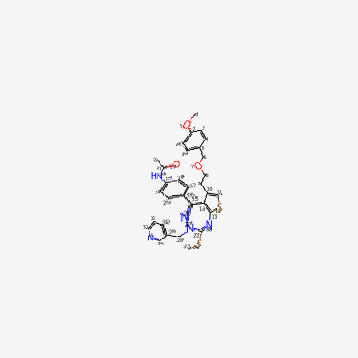 COc1ccc(COCCc2csc3c2C(c2ccc(NC(C)=O)cc2)=NN(Cc2cccnc2)C(SC)=N3)cc1